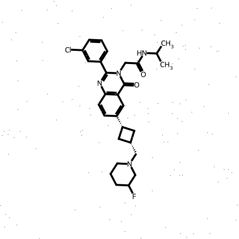 CC(C)NC(=O)Cn1c(-c2cccc(Cl)c2)nc2ccc([C@H]3C[C@@H](CN4CCCC(F)C4)C3)cc2c1=O